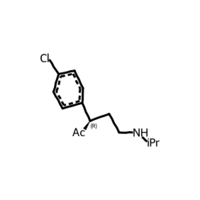 CC(=O)[C@H](CCNC(C)C)c1ccc(Cl)cc1